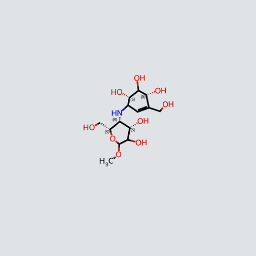 COC1O[C@H](CO)[C@H](NC2C=C(CO)[C@@H](O)C(O)[C@H]2O)[C@H](O)C1O